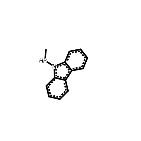 CPn1c2ccccc2c2ccccc21